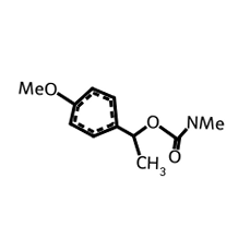 CNC(=O)OC(C)c1ccc(OC)cc1